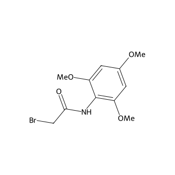 COc1cc(OC)c(NC(=O)CBr)c(OC)c1